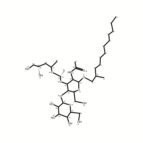 CCCCCCCCCCC(C)COC1OC(CO)C(OC2OC(CO)C(O)C(O)C2O)C(O[C@@H](C)OC(C)C[C@H](O)CO)C1NC(C)=O